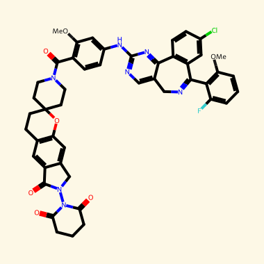 COc1cc(Nc2ncc3c(n2)-c2ccc(Cl)cc2C(c2c(F)cccc2OC)=NC3)ccc1C(=O)N1CCC2(CCc3cc4c(cc3O2)CN(N2C(=O)CCCC2=O)C4=O)CC1